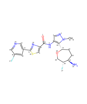 Cn1ncc(NC(=O)c2csc(-c3cncc(F)c3)n2)c1[C@@H]1CC[C@@H](N)[C@H](F)CO1